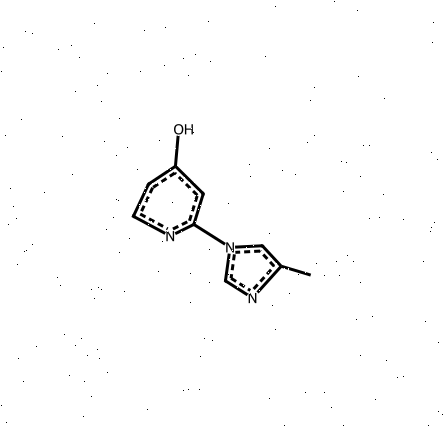 Cc1cn(-c2cc(O)ccn2)cn1